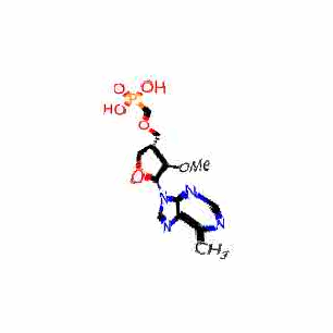 CO[C@@H]1[C@@H](COCP(=O)(O)O)CO[C@H]1n1cnc2c(C)ncnc21